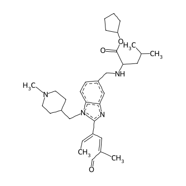 C/C=C(\C=C(\C)C=O)c1nc2cc(CNC(CC(C)C)C(=O)OC3CCCC3)ccc2n1CC1CCN(C)CC1